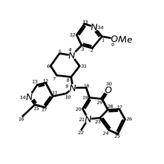 COc1cc(N2CCCC(N(Cc3ccnc(C)c3)Cc3cn(C)c4ccccc4c3=O)C2)ccn1